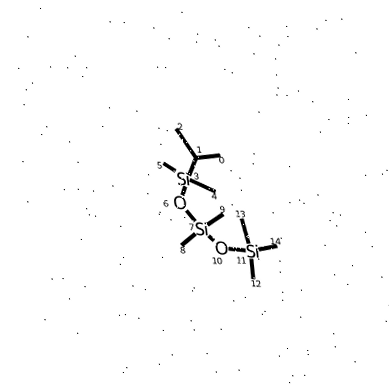 CC(C)[Si](C)(C)O[Si](C)(C)O[Si](C)(C)C